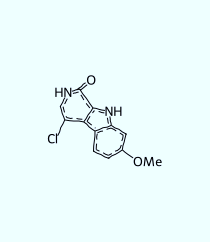 COc1ccc2c(c1)[nH]c1c(=O)[nH]cc(Cl)c12